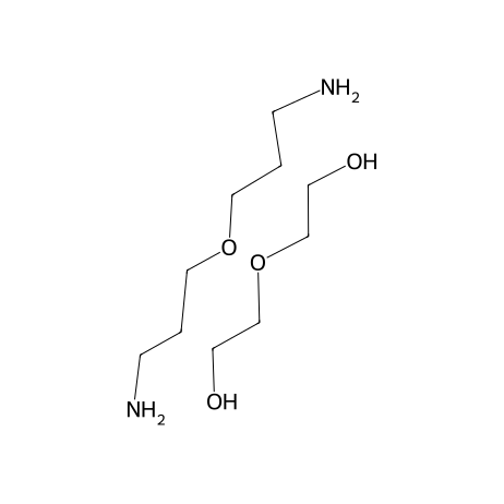 NCCCOCCCN.OCCOCCO